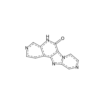 O=c1[nH]c2cnccc2c2nc3cnccn3c12